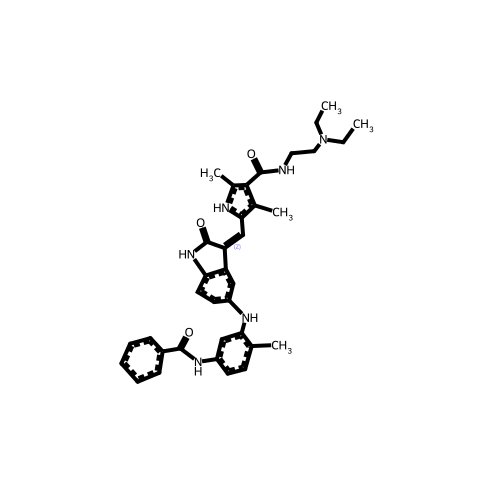 CCN(CC)CCNC(=O)c1c(C)[nH]c(/C=C2\C(=O)Nc3ccc(Nc4cc(NC(=O)c5ccccc5)ccc4C)cc32)c1C